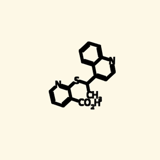 CC(Sc1ncccc1C(=O)O)c1ccnc2ccccc12